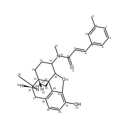 Cc1cccc(/C=C/C(=O)N(C)C2CC[C@H]3[C@H]4Cc5ccc(O)c6c5[C@@]3(CCN4C)C2O6)c1